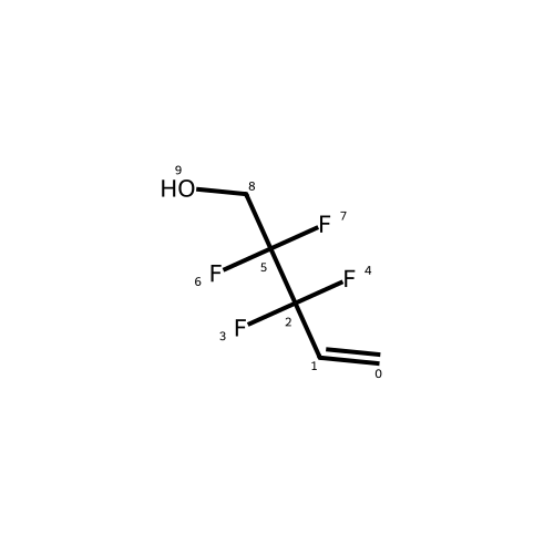 C=CC(F)(F)C(F)(F)CO